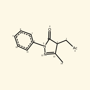 CC(=O)CC1C(=O)N(c2ccccc2)N=C1C